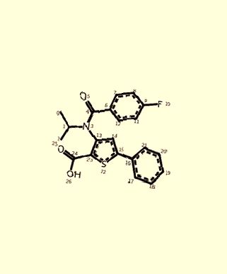 CC(C)N(C(=O)c1ccc(F)cc1)c1cc(-c2ccccc2)sc1C(=O)O